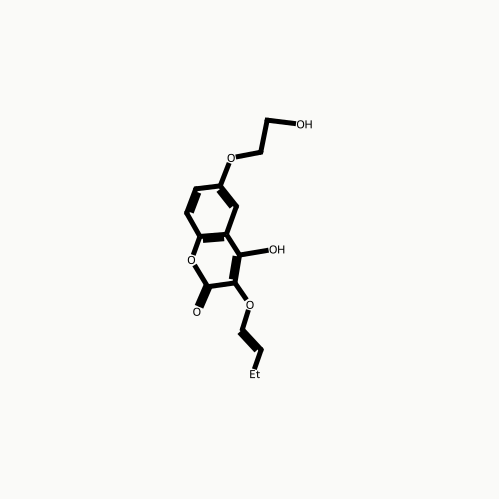 CC/C=C/Oc1c(O)c2cc(OCCO)ccc2oc1=O